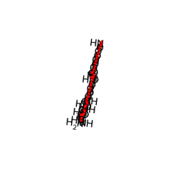 CNCCOCCOCCOCCOCCOCCOCCC(=O)Oc1ccc(C(=O)NCCOCCOCCOCCOCCNC(=O)CNC(=O)CNC(=O)CNC(=O)[C@H](CCCNC(=N)N)NC(C)=O)cc1F